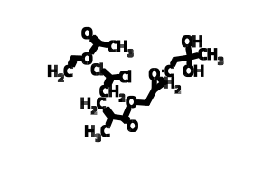 C=C(C)C(=O)OCC1CO1.C=C(Cl)Cl.C=COC(C)=O.[CH2]CC(C)(O)O